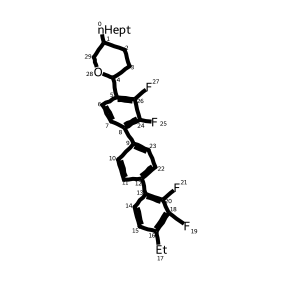 CCCCCCCC1CCC(c2ccc(-c3ccc(-c4ccc(CC)c(F)c4F)cc3)c(F)c2F)OC1